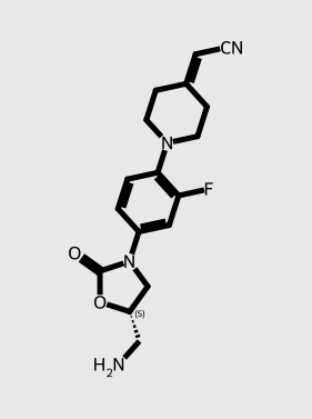 N#CC=C1CCN(c2ccc(N3C[C@H](CN)OC3=O)cc2F)CC1